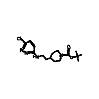 CC(C)(C)OC(=O)N1CCC(CCNc2ccc(Cl)nn2)CC1